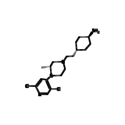 C[C@@H]1CN(CC[C@H]2CC[C@H](N)CC2)CCN1c1cc(Cl)ncc1Cl